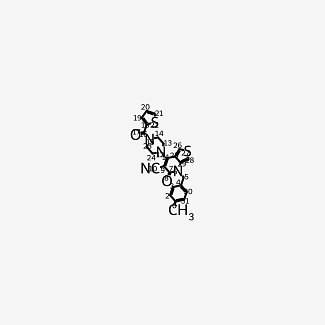 Cc1ccc(Cn2c(=O)c(C#N)c(N3CCN(C(=O)c4cccs4)CC3)c3cscc32)cc1